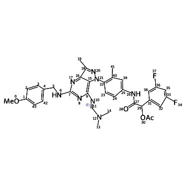 COc1ccc(CNc2nc(/N=C/N(C)C)c3c(n2)c(C)nn3-c2ccc(NC(=O)C(OC(C)=O)c3cc(F)cc(F)c3)cc2C)cc1